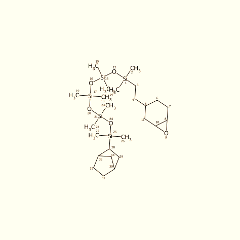 C[Si](C)(CCC1CCC2OC2C1)O[Si](C)(C)O[Si](C)(C)O[Si](C)(C)O[Si](C)(C)C1CC2CCC1C2